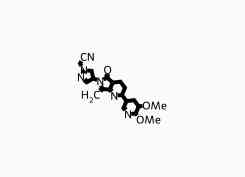 C=C1C2=NC(C3C=NC(OC)C(OC)C3)CCC2C(=O)N1C1C=NN(CC#N)C1